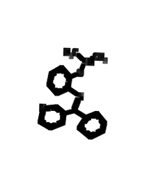 C[SiH](C)Oc1ccccc1N=C(c1ccccc1)c1cccnc1